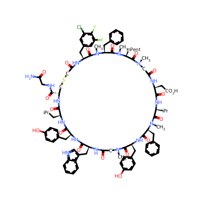 CCCCC[C@H]1C(=O)N(C)CC(=O)N[C@@H](CC(=O)O)C(=O)N[C@@H](C(C)C)C(=O)N(C)[C@@H](Cc2ccccc2)C(=O)N[C@@H](Cc2ccc(O)cc2)C(=O)N(C)CC(=O)N[C@@H](Cc2c[nH]c3ccccc23)C(=O)N[C@@H](Cc2ccc(O)cc2)C(=O)N[C@@H](CC(C)C)C(=O)N[C@H](C(=O)NCC(N)=O)CSCC(=O)N[C@@H](Cc2cc(F)c(F)c(Cl)c2)C(=O)N(C)[C@@H](Cc2ccccc2)C(=O)N1C